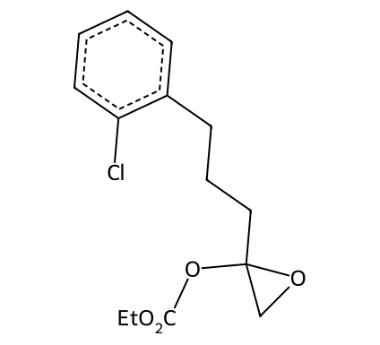 CCOC(=O)OC1(CCCc2ccccc2Cl)CO1